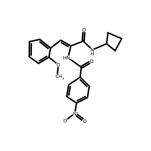 COc1ccccc1/C=C(\NC(=O)c1ccc([N+](=O)[O-])cc1)C(=O)NC1CCC1